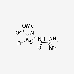 CCC[C@H](N)C(=O)Nc1nc(C(=O)OC)c(C(C)C)s1